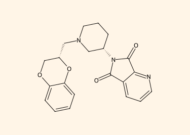 O=C1c2cccnc2C(=O)N1[C@H]1CCCN(C[C@H]2COc3ccccc3O2)C1